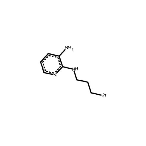 CC(C)CCCNc1ncccc1N